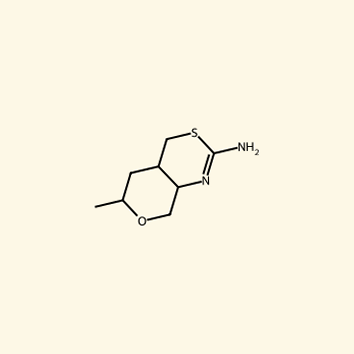 CC1CC2CSC(N)=NC2CO1